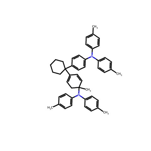 Cc1ccc(N(c2ccc(C)cc2)c2ccc(C3(C4=CCC(C)(N(c5ccc(C)cc5)c5ccc(C)cc5)C=C4)CCCCC3)cc2)cc1